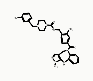 Cc1cc(C(=O)N2Cc3cnn(C)c3Nc3ccccc32)ccc1CNC(=O)N1CCN(Cc2cccc(O)c2)CC1